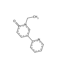 CCn1cc(-c2ccccn2)ccc1=O